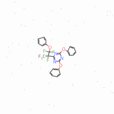 FC(F)(F)C(F)(c1nc(Oc2ccccc2)nc(Oc2ccccc2)n1)C(F)(F)Oc1ccccc1